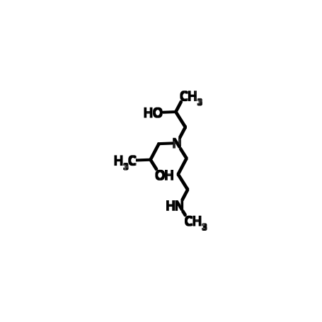 CNCCCN(CC(C)O)CC(C)O